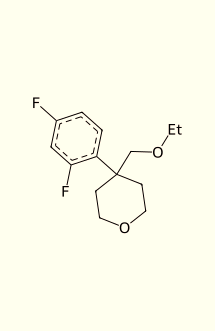 CCOCC1(c2ccc(F)cc2F)CCOCC1